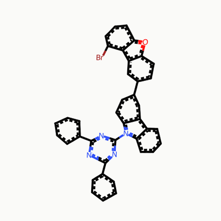 Brc1cccc2oc3ccc(-c4ccc5c(c4)c4ccccc4n5-c4nc(-c5ccccc5)nc(-c5ccccc5)n4)cc3c12